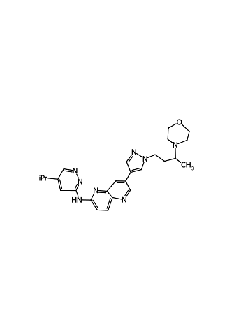 CC(C)c1cnnc(Nc2ccc3ncc(-c4cnn(CCC(C)N5CCOCC5)c4)cc3n2)c1